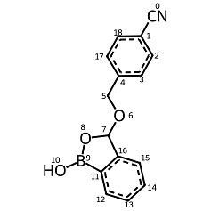 N#Cc1ccc(COC2OB(O)c3ccccc32)cc1